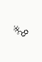 [O]C(Cc1cccc2ccccc12)C(F)(F)C(F)(F)F